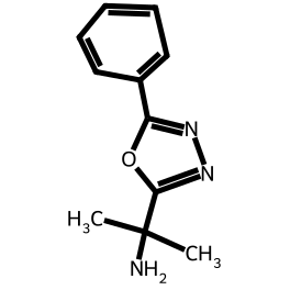 CC(C)(N)c1nnc(-c2ccccc2)o1